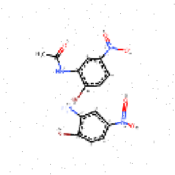 CC(=O)Nc1cc([N+](=O)[O-])ccc1Br.Nc1cc([N+](=O)[O-])ccc1Br